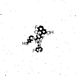 Oc1cc(-c2ncc3c(N4CCCC5(CC(O)C5)C4)nc(OC[C@@]45CCCN4C[C@H](F)C5)nc3c2F)c2c(Cl)c(F)ccc2c1